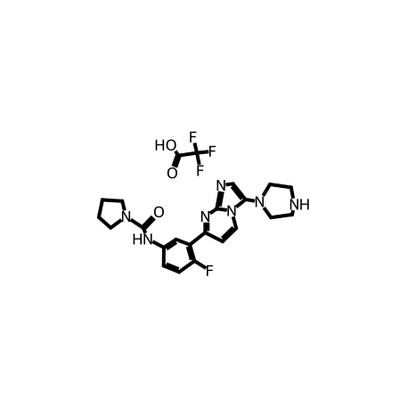 O=C(Nc1ccc(F)c(-c2ccn3c(N4CCNCC4)cnc3n2)c1)N1CCCC1.O=C(O)C(F)(F)F